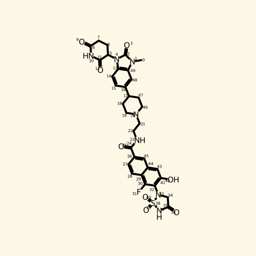 Cn1c(=O)n(C2CCC(=O)NC2=O)c2ccc(C3CCN(CCNC(=O)c4ccc5c(F)c(N6CC(=O)NS6(=O)=O)c(O)cc5c4)CC3)cc21